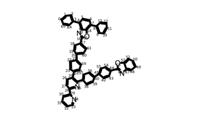 c1ccc(-c2ccc(-c3ccccc3)c3oc(-c4ccc(-c5ccc(-c6ccc(-c7ccccn7)nc6-c6ccc(-c7ccc(-c8nc9ccccc9o8)cc7)cc6)cc5)cc4)nc23)cc1